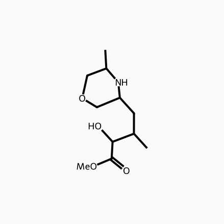 COC(=O)C(O)C(C)CC1COCC(C)N1